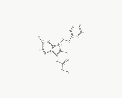 COC(=O)Cc1c(C)n(CCc2ccccc2)c2cc(C)ccc12